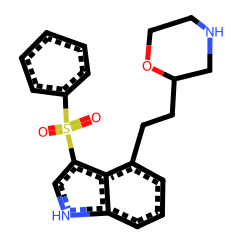 O=S(=O)(c1ccccc1)c1c[nH]c2cccc(CCC3CNCCO3)c12